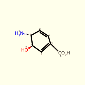 N[C@@H]1C=CC(C(=O)O)=C[C@H]1O